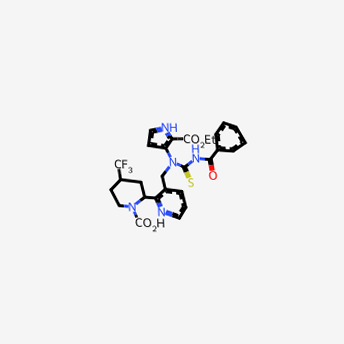 CCOC(=O)c1[nH]ccc1N(Cc1cccnc1C1CC(C(F)(F)F)CCN1C(=O)O)C(=S)NC(=O)c1ccccc1